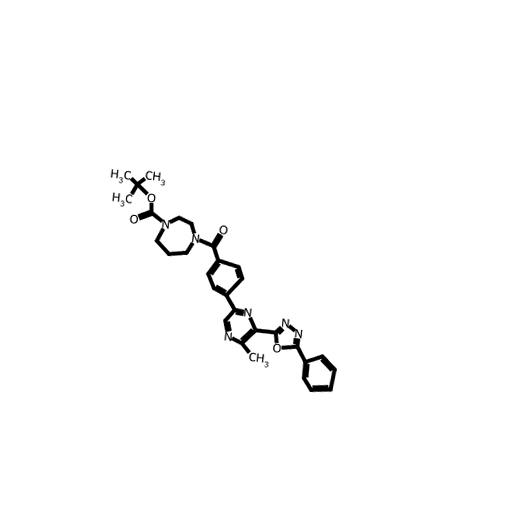 Cc1ncc(-c2ccc(C(=O)N3CCCN(C(=O)OC(C)(C)C)CC3)cc2)nc1-c1nnc(-c2ccccc2)o1